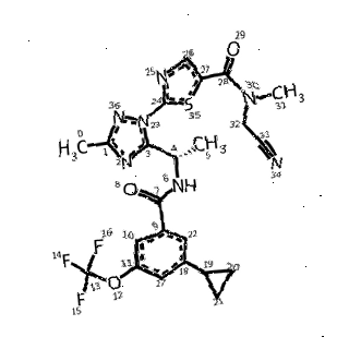 Cc1nc([C@H](C)NC(=O)c2cc(OC(F)(F)F)cc(C3CC3)c2)n(-c2ncc(C(=O)N(C)CC#N)s2)n1